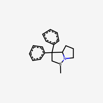 CB1CC(c2ccccc2)(c2ccccc2)C2CCCN12